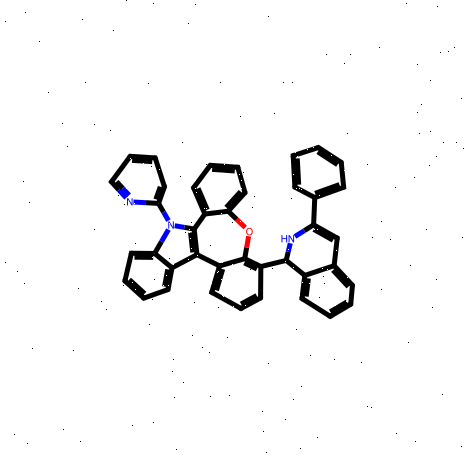 C1=C(c2ccccc2)NC(c2cccc3c2Oc2ccccc2-c2c-3c3ccccc3n2-c2ccccn2)c2ccccc21